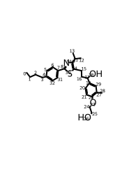 CCCCc1ccc(-c2nc(C(C)C)c(CCC(O)c3ccc(OCCO)c(C)c3)s2)cc1